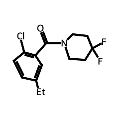 CCc1ccc(Cl)c(C(=O)N2CCC(F)(F)CC2)c1